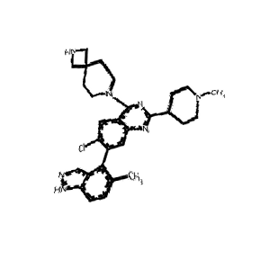 Cc1ccc2[nH]ncc2c1-c1cc2nc(C3CCN(C)CC3)nc(N3CCC4(CC3)CNC4)c2cc1Cl